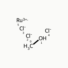 CO.[Cl-].[Cl-].[Cl-].[Ru+3]